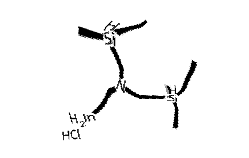 C[SiH](C)[N]([InH2])[SiH](C)C.Cl